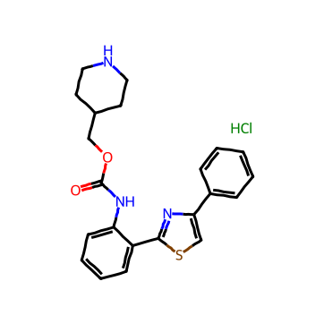 Cl.O=C(Nc1ccccc1-c1nc(-c2ccccc2)cs1)OCC1CCNCC1